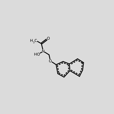 CC(=O)N(O)COc1ccc2ccccc2c1